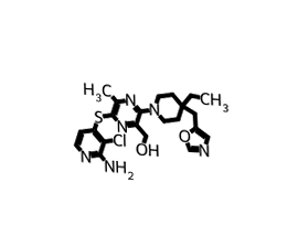 CCC1(Cc2cnco2)CCN(c2nc(C)c(Sc3ccnc(N)c3Cl)nc2CO)CC1